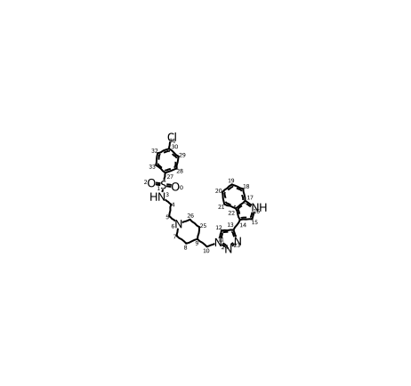 O=S(=O)(NCCN1CCC(Cn2cc(-c3c[nH]c4ccccc34)nn2)CC1)c1ccc(Cl)cc1